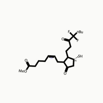 CCCCC(F)(F)C(=O)CCC1C(C/C=C\CCCC(=O)OC)C(=O)C[C@H]1S